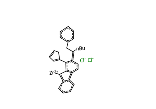 CCCCC(Cc1ccccc1)=c1ccc2c(c1C1=CC=CC1)[C]([Zr+2])=c1ccccc1=2.[Cl-].[Cl-]